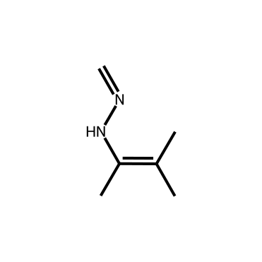 C=NNC(C)=C(C)C